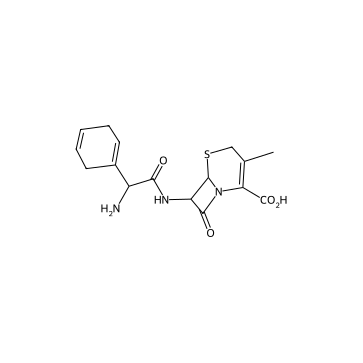 CC1=C(C(=O)O)N2C(=O)C(NC(=O)C(N)C3=CCC=CC3)C2SC1